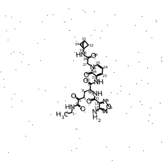 CCNC(=O)C(=O)CC[C@H](NC(=O)c1nonc1N)C(=O)Nc1cccn(CC(=O)NC23CC(C2)C3)c1=O